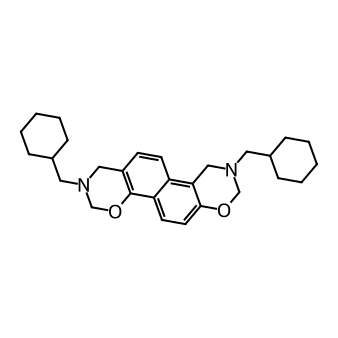 c1cc2c3c(ccc2c2c1CN(CC1CCCCC1)CO2)OCN(CC1CCCCC1)C3